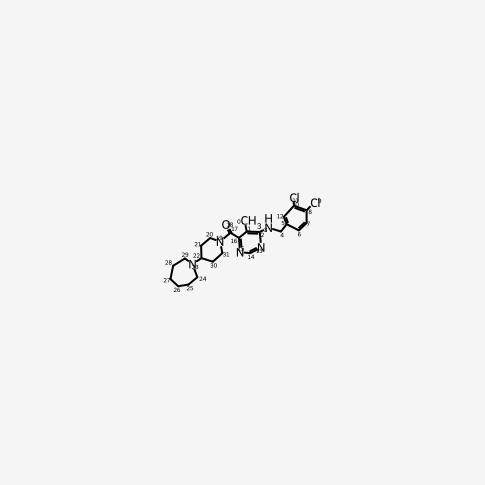 Cc1c(NCc2ccc(Cl)c(Cl)c2)ncnc1C(=O)N1CCC(N2CCCCCC2)CC1